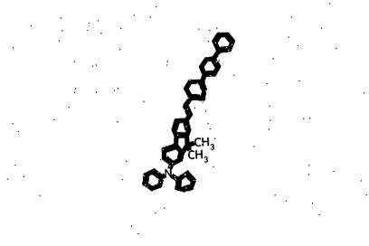 CC1(C)c2cc(/C=C/C3=CC=C(C4=CC=C(c5ccccc5)CC4)CC3)ccc2-c2ccc(N(C3=CC=CCC3)c3ccccc3)cc21